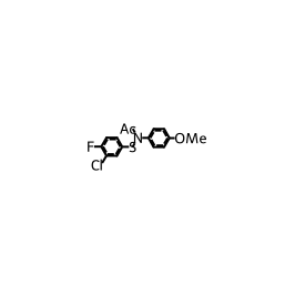 COc1ccc(N(Sc2ccc(F)c(Cl)c2)C(C)=O)cc1